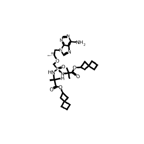 C[C@H](Cn1cnc2c(N)ncnc21)OCP(=O)(NC(C)(C)C(=O)OC1CC2(CCC2)C1)NC(C)(C)C(=O)OC1CC2(CCC2)C1